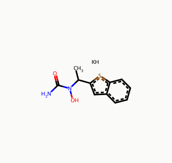 CC(c1cc2ccccc2s1)N(O)C(N)=O.[KH]